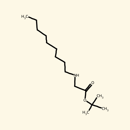 CCCCCCCCCNCC(=O)OC(C)(C)C